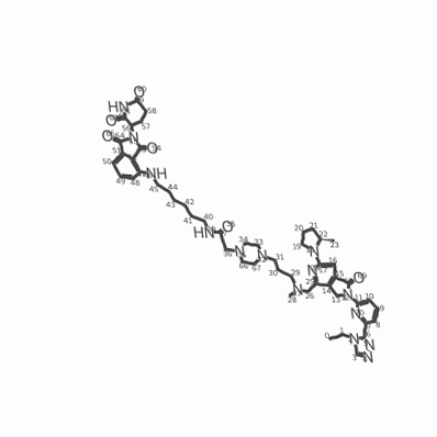 CCn1cnnc1-c1cccc(N2Cc3c(cc(N4CCC[C@H]4C)nc3CN(C)CCCN3CCN(CC(=O)NCCCCCCNc4cccc5c4C(=O)N(C4CCC(=O)NC4=O)C5=O)CC3)C2=O)n1